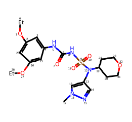 CCOc1cc(NC(=O)NS(=O)(=O)N(c2cnn(C)c2)C2CCOCC2)cc(OCC)c1